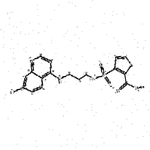 COC(=O)c1sccc1S(=O)(=O)NCCCNc1ccnc2cc(Cl)ccc12